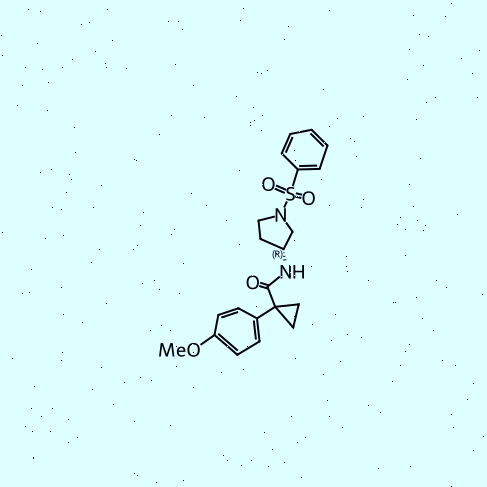 COc1ccc(C2(C(=O)N[C@@H]3CCN(S(=O)(=O)c4ccccc4)C3)CC2)cc1